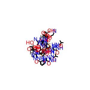 CC(C)C(=O)Nc1nc2c(ncn2[C@@H]2S[C@H](COP(=O)(OCCC#N)O[C@H]3[C@H]4OC[C@]3(CO)O[C@H]4n3cnc4c(NC(=O)c5ccccc5)ncnc43)[C@@H](O[Si](C)(C)C(C)(C)C)[C@H]2O[PH](=O)O[C@@H]2[C@H](O[Si](C)(C)C(C)(C)C)[C@@H](COP(=O)(OCCC#N)O[C@H]3[C@H]4OC[C@]3(CO)O[C@H]4n3cnc4c(NC(=O)c5ccccc5)ncnc43)S[C@H]2n2cnc3c(=O)[nH]c(NC(=O)C(C)C)nc32)c(=O)[nH]1